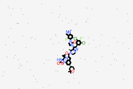 C[C@H]1c2c(-n3ccn(-c4ccc5c(cnn5C)c4F)c3=O)c(-c3cc(Cl)c(F)c(Cl)c3)nn2CCN1C(=O)c1cc2cc([C@@H]3CCOC(C)(C)C3)ccc2n1C1(c2noc(=O)[nH]2)CC1